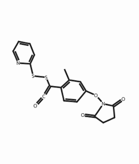 Cc1cc(ON2C(=O)CCC2=O)ccc1C(=C=O)SSc1ccccn1